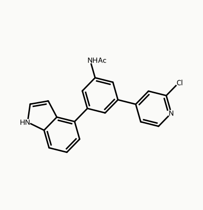 CC(=O)Nc1cc(-c2ccnc(Cl)c2)cc(-c2cccc3[nH]ccc23)c1